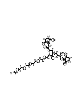 CCCOCCOCCOCCOCCOCCC(=O)N(CCC(=O)ON1C(=O)CCC1=O)CCC(=O)ON1C(=O)CCC1=O